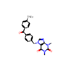 COc1ccc(C(=O)c2ccc(Cn3cnc4c3c(=O)n(C)c(=O)n4C)cc2)cc1